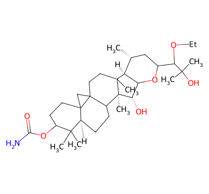 CCOC(C1C[C@@H](C)[C@H]2C(O1)[C@H](O)[C@@]1(C)C3CC[C@H]4C(C)(C)C(OC(N)=O)CCC45CC35CCC21C)C(C)(C)O